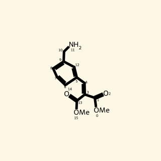 COC(=O)C(=Cc1[c]ccc(CN)c1)C(=O)OC